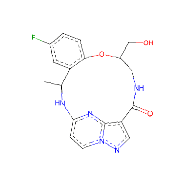 CC1Nc2ccn3ncc(c3n2)C(=O)NCC(CO)Oc2ccc(F)cc21